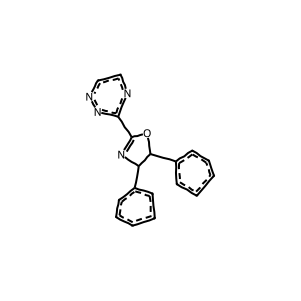 c1ccc(C2N=C(c3nccnn3)OC2c2ccccc2)cc1